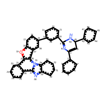 C1=C(c2ccccc2)N=C(c2cccc(-c3ccc4oc5c6ccccc6c6nc7ccccc7n6c5c4c3)c2)NC1c1ccccc1